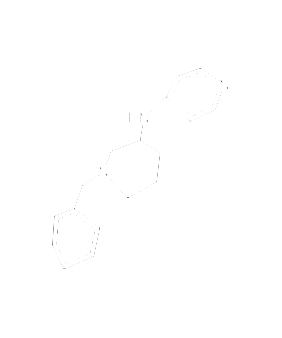 c1ccc(CN2CCCC(Nc3ccncc3)C2)cc1